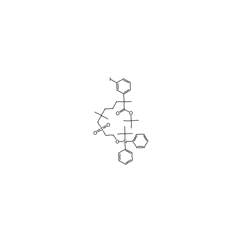 CC(C)(CCCC(C)(C(=O)OC(C)(C)C)c1cccc(I)c1)CS(=O)(=O)CCO[Si](c1ccccc1)(c1ccccc1)C(C)(C)C